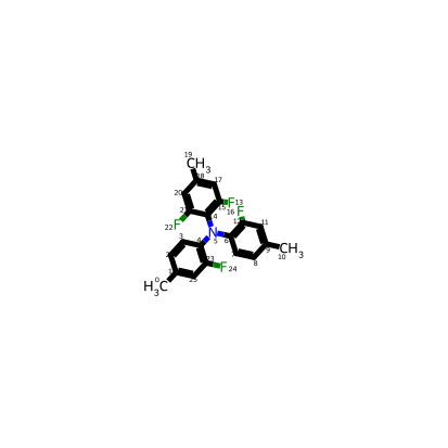 Cc1ccc(N(c2ccc(C)cc2F)c2c(F)cc(C)cc2F)c(F)c1